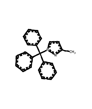 Cc1ccn(C(c2ccccc2)(c2ccccc2)c2ccccc2)n1